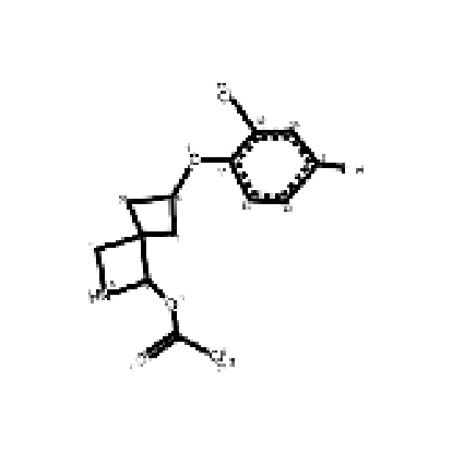 O=C(OC1NCC12CC(Oc1ccc(F)cc1Cl)C2)C(F)(F)F